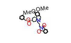 COc1cc2c(cc1OC)[C@]1(CC[C@H](C(=O)OCc3ccccc3)CC1)N(CCCN1C(=O)c3ccccc3C1=O)CC2